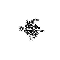 CC[C@H](C)[C@@H]([C@H](CC(=O)N1CCC[C@H]1[C@H](OC)[C@@H](C)C(=O)N[C@@H](Cc1ccccc1)c1ncc(-c2ccccc2)[nH]1)OC)N(C)C(=O)[C@@H](NC(=O)C1C2CCC(C2)N1C(=O)OC(C)(C)C)C(C)C